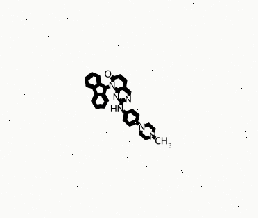 CN1CCN(c2ccc(Nc3ncc4ccc(=O)n(C5c6ccccc6-c6ccccc65)c4n3)cc2)CC1